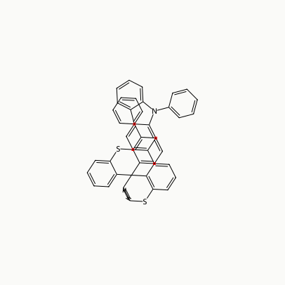 c1ccc(-c2cccc3c2Sc2ccccc2C32c3ccccc3Sc3cccc(-c4ccc5c6ccccc6n(-c6ccccc6)c5c4)c32)cc1